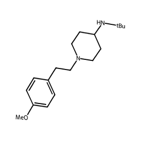 COc1ccc(CCN2CCC(NC(C)(C)C)CC2)cc1